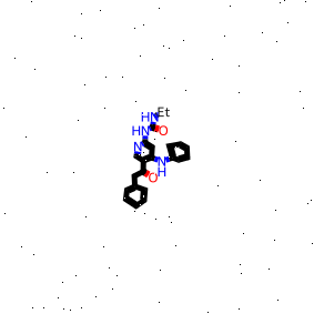 CCNC(=O)Nc1cc(Nc2ccccc2)c(C(=O)Cc2ccccc2)cn1